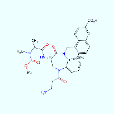 COc1ccc2cc(C(=O)O)ccc2c1CN1C(=O)[C@@H](NC(=O)C(C)N(C)C(=O)OC(C)(C)C)CN(C(=O)CCN)c2ccccc21